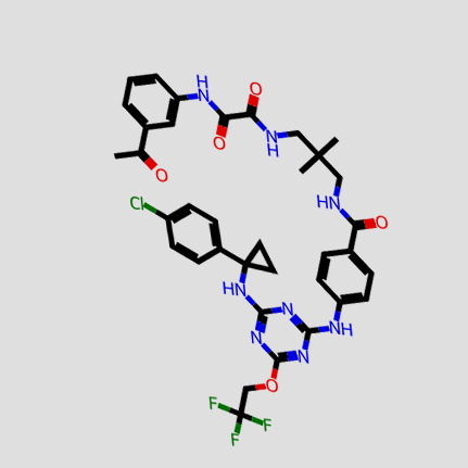 CC(=O)c1cccc(NC(=O)C(=O)NCC(C)(C)CNC(=O)c2ccc(Nc3nc(NC4(c5ccc(Cl)cc5)CC4)nc(OCC(F)(F)F)n3)cc2)c1